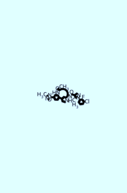 Cc1noc(-c2ccc3c(c2)NC(=O)[C@H](C)CCC[C@H](NC(=O)c2cnn(-c4cccc(Cl)c4F)c2C)c2cc-3ccn2)n1